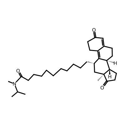 CC(C)N(C)C(=O)CCCCCCCCCC[C@H]1C[C@]2(C)C(=O)CC[C@H]2[C@@H]2CCC3=CC(=O)CCC3=C12